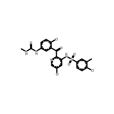 CNC(=O)Nc1ccc(Cl)c(C(=O)c2ncc(Cl)cc2NS(=O)(=O)c2ccc(Cl)c(C)c2)c1